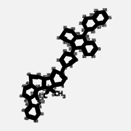 CC1(C)c2ccc(-c3ccc(-c4c5ccccc5c(-c5ccc6ccccc6c5)c5ccccc45)cc3)cc2-c2ccc3ccc4c5ccccc5sc4c3c21